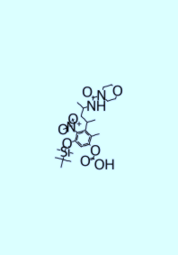 Cc1c(OC(=O)O)cc(O[Si](C)(C)C(C)(C)C)c([N+](=O)[O-])c1C(C)CC(C)NC(=O)N1CCOCC1